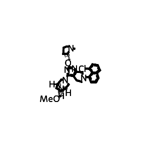 COC[C@@H]1C[C@@H]2CN(c3nc(OC[C@@H]4CCCN4C)nc4c3CCN(c3cccc5cccc(Cl)c35)C4)C[C@H]1N2